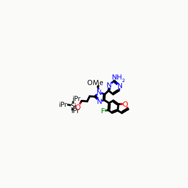 COCn1c(CCCO[Si](C(C)C)(C(C)C)C(C)C)nc(-c2cc3occc3cc2F)c1-c1ccnc(N)n1